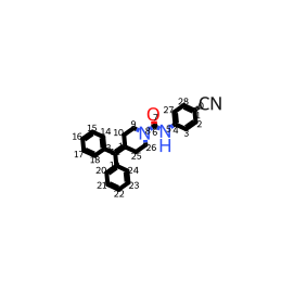 N#Cc1ccc(NC(=O)N2CCC(=C(c3ccccc3)c3ccccc3)CC2)cc1